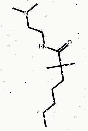 CCCCCC(C)(C)C(=O)NCCN(C)C